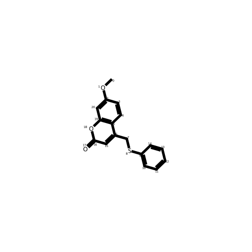 COc1ccc2c(CSc3ccccc3)cc(=O)oc2c1